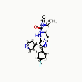 CCN(CC)C(=O)N1CCn2nc(-c3ccc(F)cc3)c(-c3ccncc3)c2N1